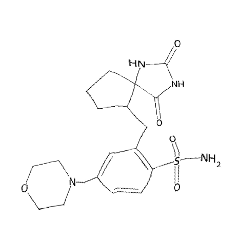 NS(=O)(=O)c1ccc(N2CCOCC2)cc1CC1CCCC12NC(=O)NC2=O